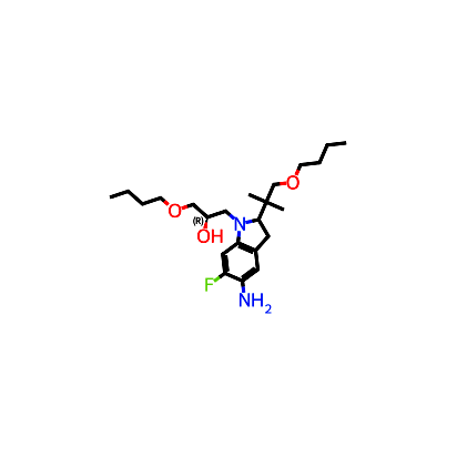 CCCCOC[C@H](O)CN1c2cc(F)c(N)cc2CC1C(C)(C)COCCCC